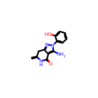 C=C1Cc2nn(-c3ccccc3O)c(N)c2C(=O)N1